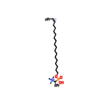 CCC/C=C\CCCCCCCCCCCCCCCCOP(=O)(O)C(CCC)[N+](C)(C)C